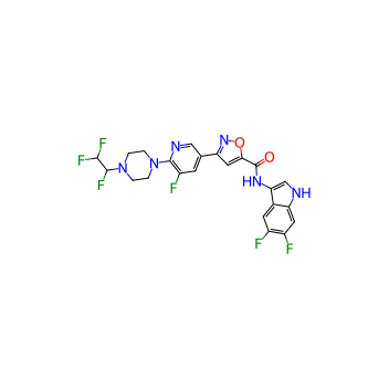 O=C(Nc1c[nH]c2cc(F)c(F)cc12)c1cc(-c2cnc(N3CCN(C(F)C(F)F)CC3)c(F)c2)no1